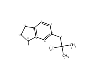 CC(C)(C)Cc1ccc2c(c1)NCC2